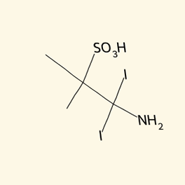 CC(C)(C(N)(I)I)S(=O)(=O)O